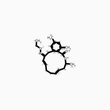 CCON=C1/C=C/CC/C=C/CC(C)OC(=O)c2c(C)cc(C)cc2C1